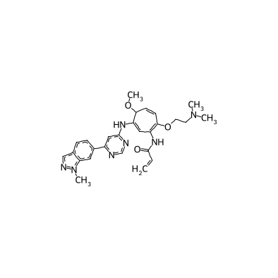 C=CC(=O)NC1=C(OCCN(C)C)C=CC(OC)C(Nc2cc(-c3ccc4cnn(C)c4c3)ncn2)=C1